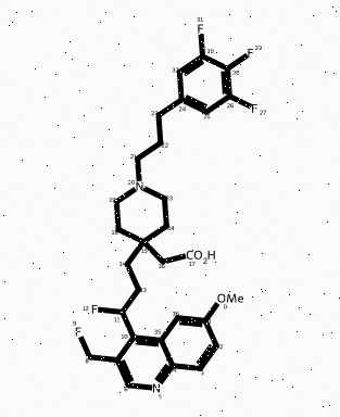 COc1ccc2ncc(CF)c(C(F)CCC3(CC(=O)O)CCN(CCCc4cc(F)c(F)c(F)c4)CC3)c2c1